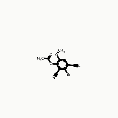 COc1cc(C#N)c(Br)c(C#N)c1OC(C)=O